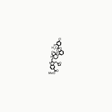 COC(=O)c1ccc2nc(CN3CCN(c4cccc5c4O[C@](C)(c4ccc(Cl)cc4F)O5)[C@H]4COC[C@H]43)n(C[C@@H]3CCO3)c2c1